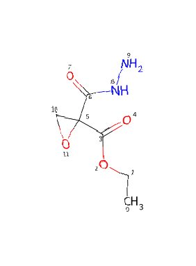 CCOC(=O)C1(C(=O)NN)CO1